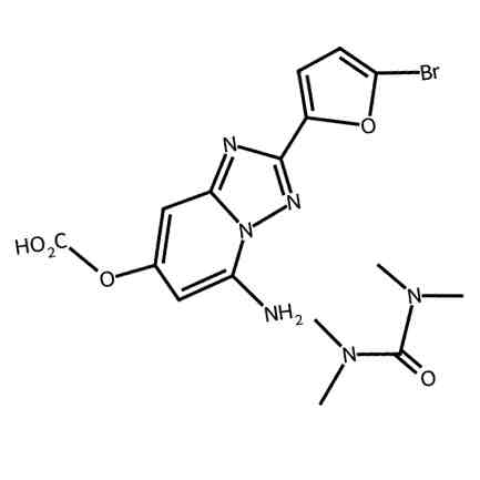 CN(C)C(=O)N(C)C.Nc1cc(OC(=O)O)cc2nc(-c3ccc(Br)o3)nn12